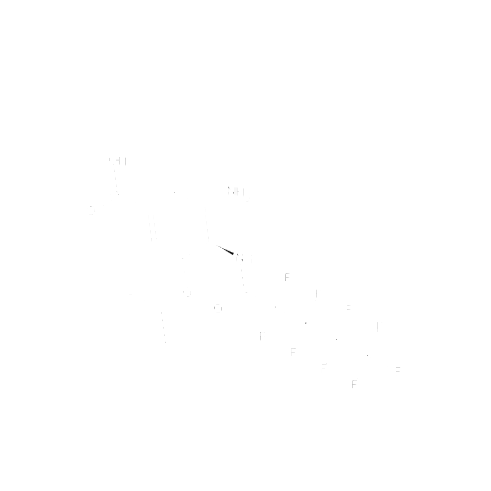 CCC(CC)O[C@@H]1C=C(C(=O)O)C[C@H](N)[C@H]1NC(=O)C(F)(F)C(F)(F)C(F)(F)C(F)(F)F